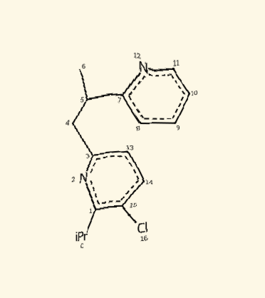 CC(C)c1nc(CC(C)c2ccccn2)ccc1Cl